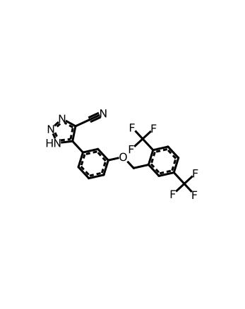 N#Cc1nn[nH]c1-c1cccc(OCc2cc(C(F)(F)F)ccc2C(F)(F)F)c1